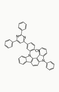 N#Cc1ccc(-c2cc(-c3ccccc3)nc(-c3ccccc3)n2)cc1-n1c2ccccc2c2ccc3c(c4ccccc4n3-c3ccccc3)c21